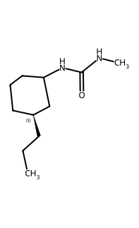 CCC[C@H]1CCCC(NC(=O)NC)C1